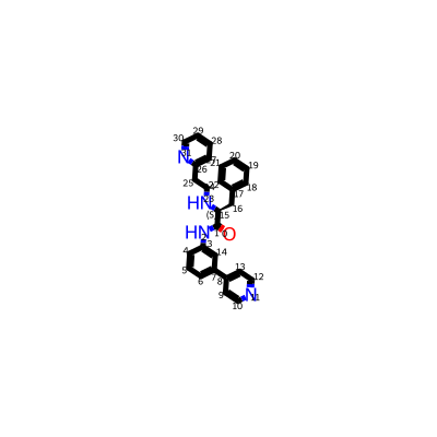 O=C(Nc1cccc(-c2ccncc2)c1)[C@H](Cc1ccccc1)NCCc1ccccn1